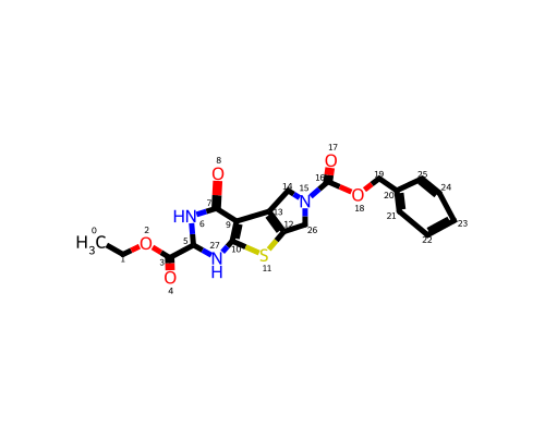 CCOC(=O)C1NC(=O)c2c(sc3c2CN(C(=O)OCc2ccccc2)C3)N1